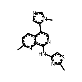 Cc1ccc2c(-c3cncn3C)cnc(Nc3csc(C)n3)c2n1